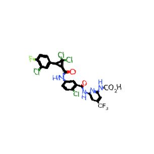 O=C(O)Nc1cc(C(F)(F)F)cc(NC(=O)c2cc(NC(=O)C3C(c4ccc(F)c(Cl)c4)C3(Cl)Cl)ccc2Cl)n1